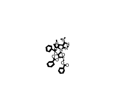 CN(C)c1ncnc2c1c1c(ccn1C)n2[C@@H]1O[C@H](COC(=O)c2ccccc2)[C@@H](OC(=O)c2ccccc2)[C@H]1OC(=O)c1ccccc1